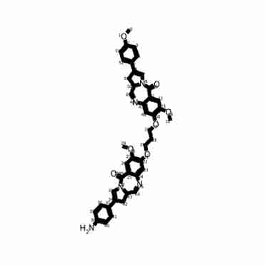 COc1ccc(C2=CN3C(=O)c4cc(OC)c(OCCCOc5cc6c(cc5OC)C(=O)N5C=C(c7ccc(N)cc7)CC5C=N6)cc4N=CC3C2)cc1